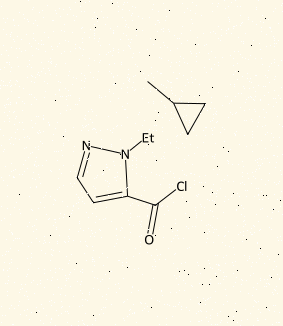 CC1CC1.CCn1nccc1C(=O)Cl